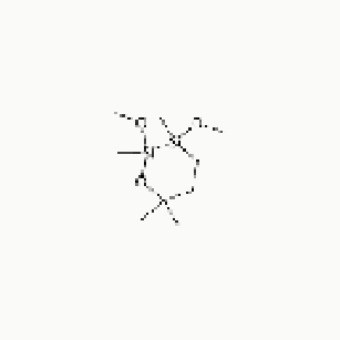 CO[Si]1(C)CCC(C)(C)O[Si]1(C)OC